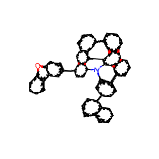 c1ccc(-c2ccc(-c3cccc4ccccc34)cc2N(c2ccc(-c3ccc4oc5ccccc5c4c3)cc2)c2ccccc2-c2cccc3cccc(-c4ccccc4)c23)cc1